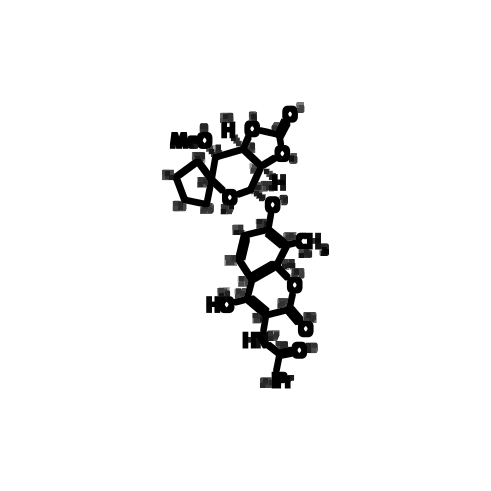 CO[C@@H]1[C@H]2OC(=O)O[C@H]2[C@H](Oc2ccc3c(O)c(NC(=O)C(C)C)c(=O)oc3c2C)OC12CCCC2